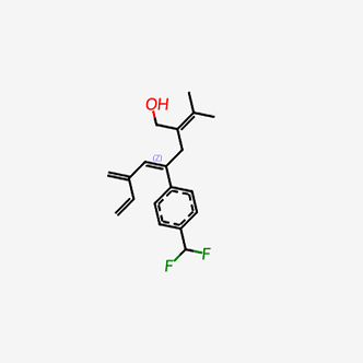 C=CC(=C)/C=C(/CC(CO)=C(C)C)c1ccc(C(F)F)cc1